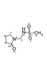 CS(=O)(=O)NCN1CCCC1=O